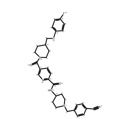 N#Cc1ccc(CN2CCC(NC(=O)c3ccc(C(=O)N4CCC(COc5ccc(F)cc5)CC4)cn3)CC2)cc1